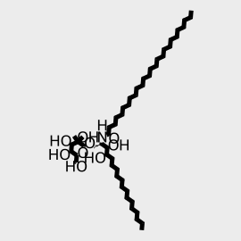 CCCCCCCCCCCCCCCCCCCCCCCCCC(=O)N[C@@H](CO[C@H]1OC(CO)[C@H](O)[C@@H](O)C1(C)O)[C@H](O)[C@H](O)CCCCCCCCCCCCCC